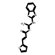 N/C(=N\C(=O)/C=C/c1ccco1)Nc1nc2ccccc2s1